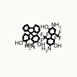 Nc1cc(C(F)(F)F)c(-c2cc(O)c(N)cc2C(F)(F)F)cc1O.Nc1cc(C2(c3ccc(O)c(N)c3)c3ccccc3-c3ccccc32)ccc1O